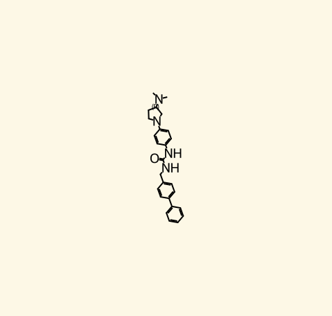 CN(C)[C@@H]1CCN(c2ccc(NC(=O)NCc3ccc(-c4ccccc4)cc3)cc2)C1